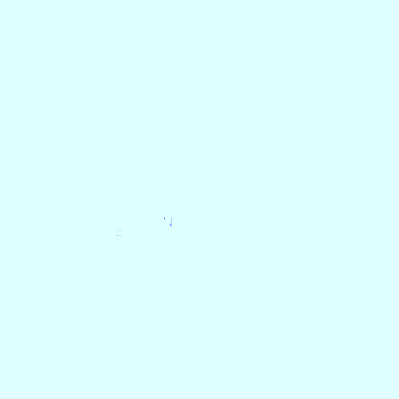 CCN(c1cccc(C)c1C)C(C)Cl